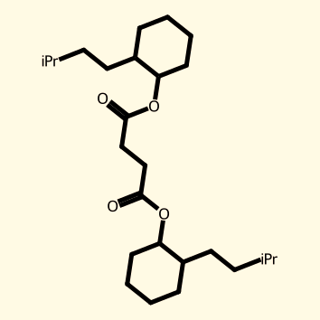 CC(C)CCC1CCCCC1OC(=O)CCC(=O)OC1CCCCC1CCC(C)C